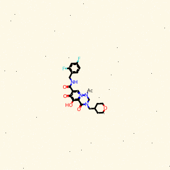 CC(=O)N1CN(CC2CCOCC2)C(=O)c2c(O)c(=O)c(C(=O)NCc3ccc(F)cc3F)cn21